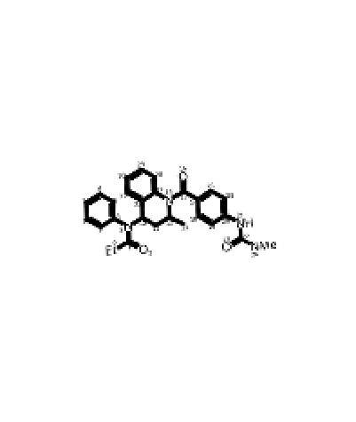 CCC(=O)N(c1ccccc1)C1CC(C)N(C(=O)c2ccc(NC(=O)NC)cc2)c2ccccc21